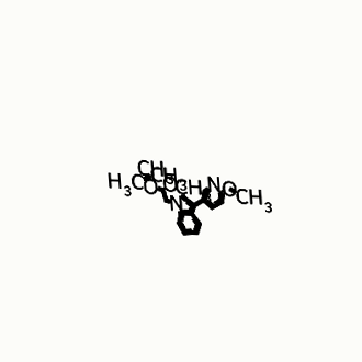 COc1ccc(-c2c(C)n(CC(=O)OC(C)(C)C)c3ccccc23)cn1